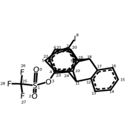 O=S(=O)(Oc1ccc(I)c2c1C1c3ccccc3C2c2ccccc21)C(F)(F)F